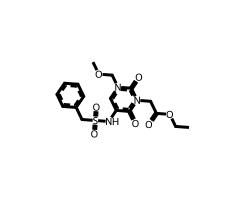 CCOC(=O)Cn1c(=O)c(NS(=O)(=O)Cc2ccccc2)cn(COC)c1=O